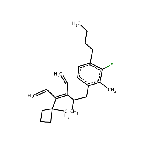 C=C/C(=C(\C=C)C1(C)CCC1)C(C)Cc1ccc(CCCC)c(F)c1C